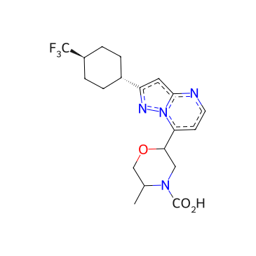 CC1COC(c2ccnc3cc([C@H]4CC[C@H](C(F)(F)F)CC4)nn23)CN1C(=O)O